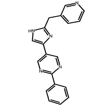 c1ccc(-c2ncc(-c3c[nH]c(Cc4cccnc4)n3)cn2)cc1